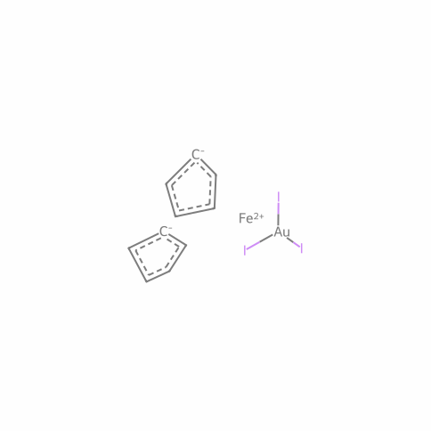 [Fe+2].[I][Au]([I])[I].c1cc[cH-]c1.c1cc[cH-]c1